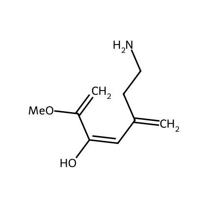 C=C(/C=C(/O)C(=C)OC)CCN